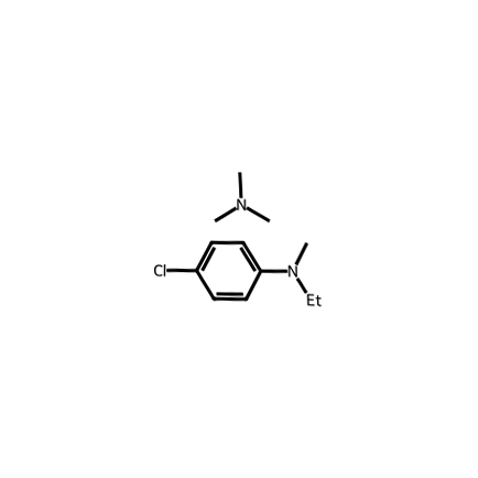 CCN(C)c1ccc(Cl)cc1.CN(C)C